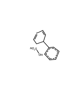 C1=CC(c2ccccc2)CC=I1.O=S(=O)(O)O